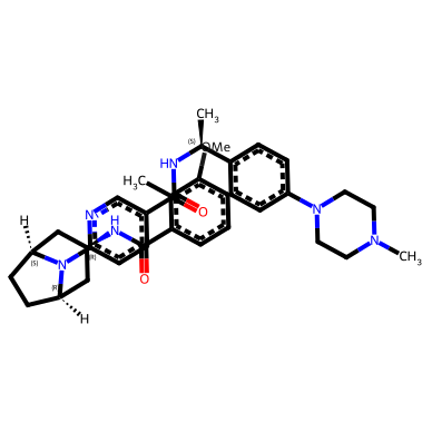 COc1cccc(C(=O)N[C@H]2C[C@H]3CC[C@@H](C2)N3c2ccc(C(=O)N[C@@H](C)c3ccc(N4CCN(C)CC4)cc3)cn2)c1C